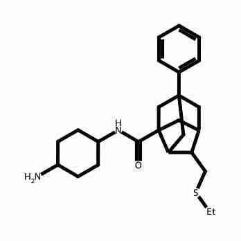 CCSCC1C2CC3(c4ccccc4)CC1C(C(=O)NC1CCC(N)CC1)(C2)C3